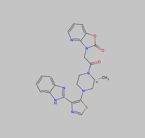 C[C@@H]1CN(c2scnc2-c2nc3ccccc3[nH]2)CCN1C(=O)Cn1c(=O)oc2cccnc21